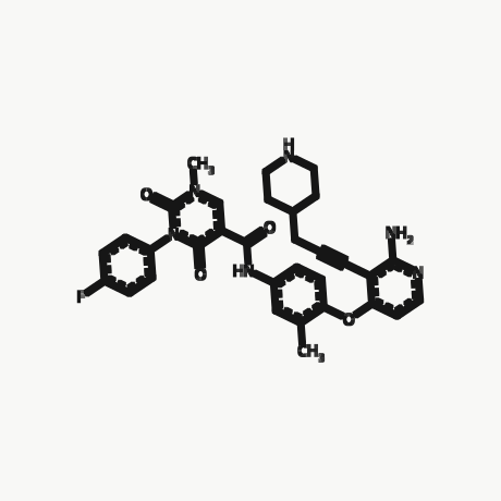 Cc1cc(NC(=O)c2cn(C)c(=O)n(-c3ccc(F)cc3)c2=O)ccc1Oc1ccnc(N)c1C#CCC1CCNCC1